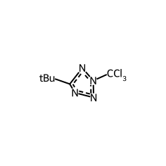 CC(C)(C)c1nnn(C(Cl)(Cl)Cl)n1